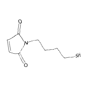 O=C1C=CC(=O)N1CCCCS